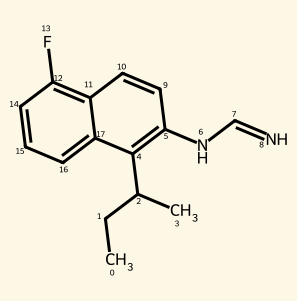 CCC(C)c1c(NC=N)ccc2c(F)cccc12